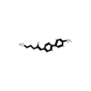 CCCCC(F)=Cc1ccc(-c2ccc(C)cc2)cc1